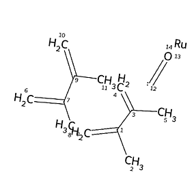 C=C(C)C(=C)C.C=C(C)C(=C)C.[C]=O.[Ru]